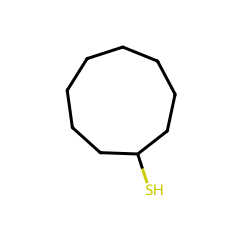 SC1CCCCCCCC1